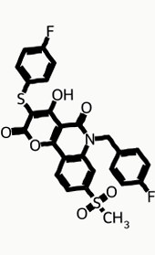 CS(=O)(=O)c1ccc2c3oc(=O)c(Sc4ccc(F)cc4)c(O)c3c(=O)n(Cc3ccc(F)cc3)c2c1